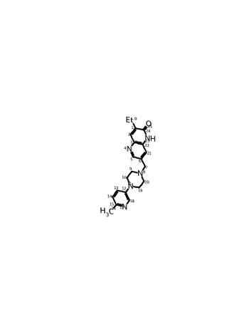 CCc1cc2ncc(CN3CCN(c4ccc(C)nc4)CC3)cc2[nH]c1=O